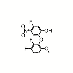 COc1ccc(F)c(F)c1Oc1cc([N+](=O)[O-])c(F)cc1O